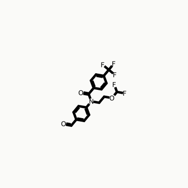 O=Cc1ccc(N(CCOC(F)F)C(=O)c2ccc(C(F)(F)F)cc2)cc1